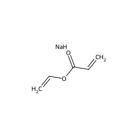 C=COC(=O)C=C.[NaH]